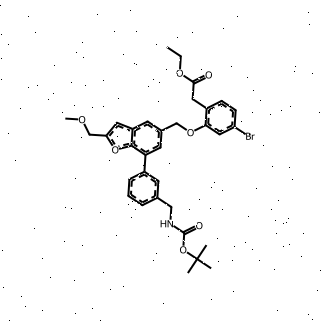 CCOC(=O)Cc1ccc(Br)cc1OCc1cc(-c2cccc(CNC(=O)OC(C)(C)C)c2)c2oc(COC)cc2c1